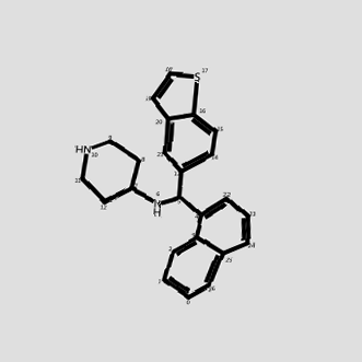 c1ccc2c(C(NC3CCNCC3)c3ccc4sccc4c3)cccc2c1